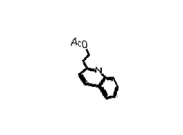 CC(=O)OCCc1ccc2c[c]ccc2n1